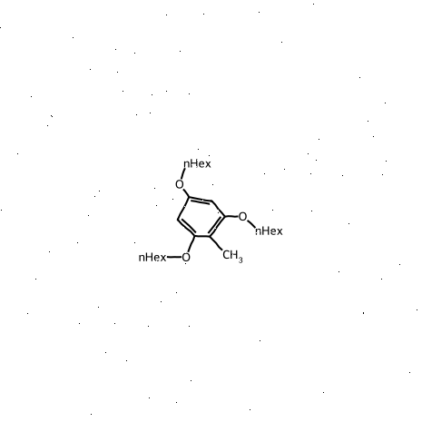 CCCCCCOc1cc(OCCCCCC)c(C)c(OCCCCCC)c1